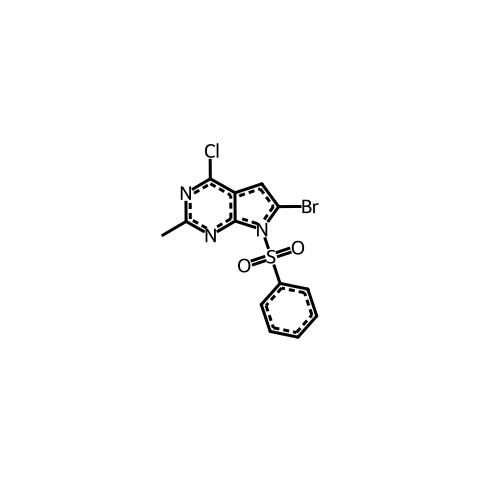 Cc1nc(Cl)c2cc(Br)n(S(=O)(=O)c3ccccc3)c2n1